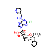 C#C[C@@]1(O)[C@@H](COC(Cc2ccccc2)(C(=O)O)C(=O)O)O[C@@H](n2cnc3c(NCc4cccnc4)nc(Cl)nc32)[C@@H]1O